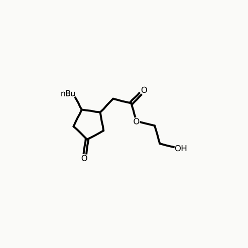 CCCCC1CC(=O)CC1CC(=O)OCCO